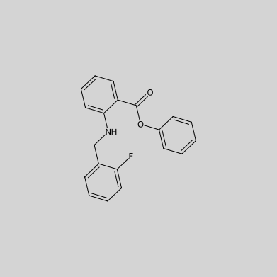 O=C(Oc1ccccc1)c1ccccc1NCc1ccccc1F